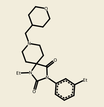 CCc1cccc(N2C(=O)N(CC)C3(CCN(CC4CCOCC4)CC3)C2=O)c1